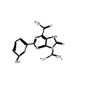 CC(C)n1c(=O)[nH]c2c(C(N)=O)nc(-c3cccc(O)c3)nc21